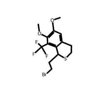 COc1cc2c(c(C(F)(F)F)c1OC)C(CCBr)SCC2